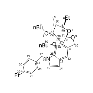 CCCCO[C@H]1[C@H](C)[C@@H](CC)O[C@]2(OCc3cc4ccn(Cc5ccc(CC)cc5)c4cc32)[C@@H]1OCCCC